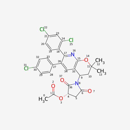 CC(=O)O[C@H]1CC(=O)N(C2CC(C)(C)Oc3nc(-c4ccc(Cl)cc4Cl)c(-c4ccc(Cl)cc4)cc32)C1=O